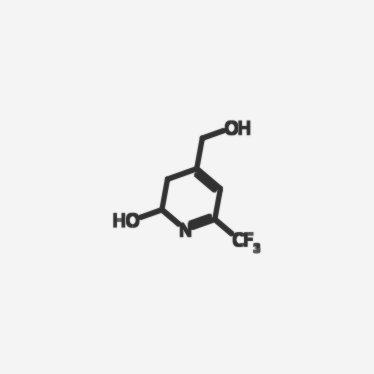 OCC1=CC(C(F)(F)F)=NC(O)C1